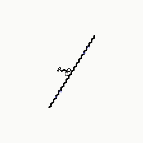 CCCCC/C=C/C/C=C/CCCCCCCCC(CCCCCCCC/C=C/C/C=C/CCCCC)OC(=O)CCN(C)C